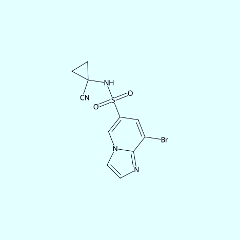 N#CC1(NS(=O)(=O)c2cc(Br)c3nccn3c2)CC1